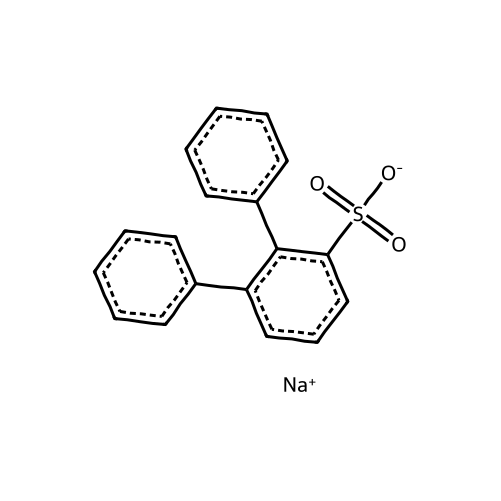 O=S(=O)([O-])c1cccc(-c2ccccc2)c1-c1ccccc1.[Na+]